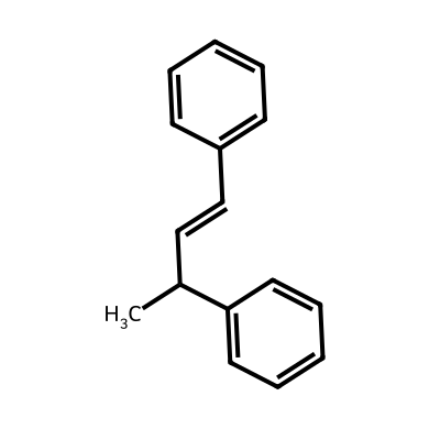 CC(C=Cc1ccccc1)c1ccccc1